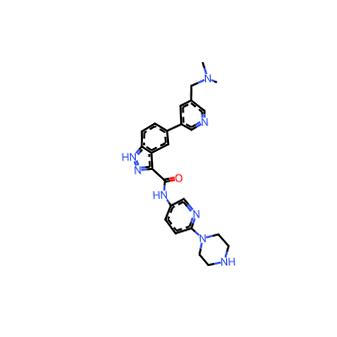 CN(C)Cc1cncc(-c2ccc3[nH]nc(C(=O)Nc4ccc(N5CCNCC5)nc4)c3c2)c1